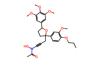 CCCOc1ccc(C2(CC#CN(O)C(C)=O)CCC(c3cc(OC)c(OC)c(OC)c3)O2)cc1OC